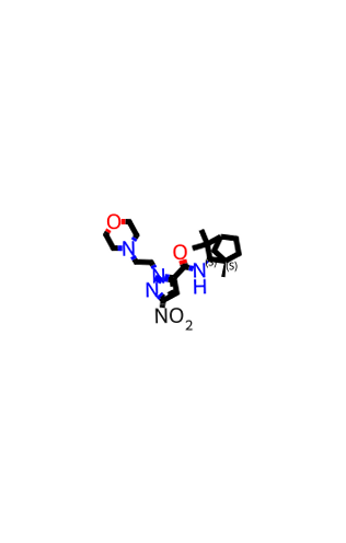 CC1(C)C2CC[C@@](C)(C2)[C@@H]1NC(=O)c1cc([N+](=O)[O-])nn1CCN1CCOCC1